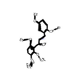 CCOc1ccc(OCC)c(/C=C/C(=O)c2c(OCC)ccc(OCC)c2OCC)c1